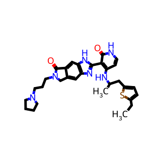 CCc1ccc(CC(C)Nc2cc[nH]c(=O)c2-c2nc3cc4c(cc3[nH]2)C(=O)N(CCCN2CCCC2)C4)s1